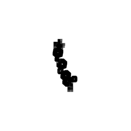 O=c1[nH]ccc2cc(OC3CCCN(Cc4ccc(C(F)(F)F)cc4)C3)ccc12